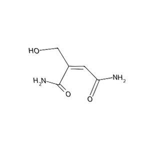 NC(=O)C=C(CO)C(N)=O